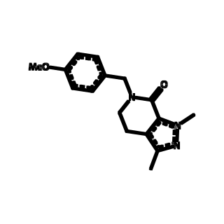 COc1ccc(CN2CCc3c(C)nn(C)c3C2=O)cc1